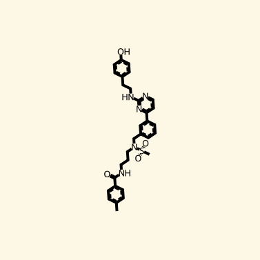 Cc1ccc(C(=O)NCCCN(Cc2cccc(-c3ccnc(NCCc4ccc(O)cc4)n3)c2)S(C)(=O)=O)cc1